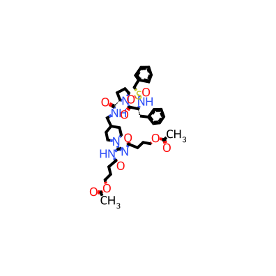 CC(=O)OCCCC(=O)/N=C(/NC(=O)CCCOC(C)=O)N1CCC(CNC(=O)[C@@H]2CCCN2C(=O)[C@@H](Cc2ccccc2)NS(=O)(=O)Cc2ccccc2)CC1